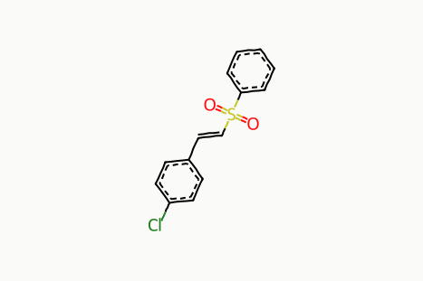 O=S(=O)(C=Cc1ccc(Cl)cc1)c1ccccc1